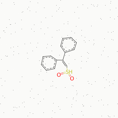 O=[SH](=O)C=C(c1ccccc1)c1ccccc1